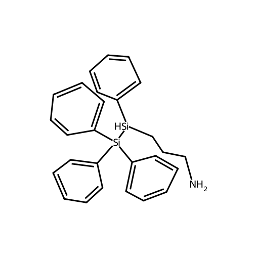 NCCC[SiH](c1ccccc1)[Si](c1ccccc1)(c1ccccc1)c1ccccc1